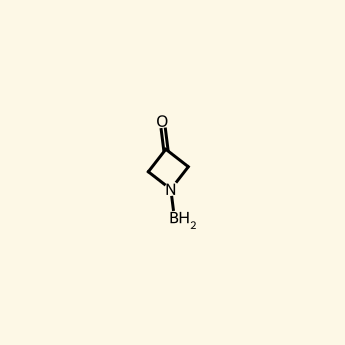 BN1CC(=O)C1